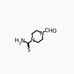 NC(=S)N1CCN(C=O)CC1